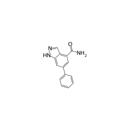 NC(=O)c1cc(-c2ccccc2)cc2[nH]ncc12